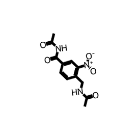 CC(=O)NCc1ccc(C(=O)NC(C)=O)cc1[N+](=O)[O-]